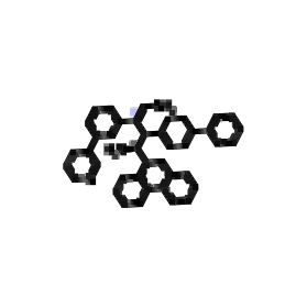 N/C=C(/c1cccc(-c2cccnc2)c1)C(C1=CC=C(c2ccccc2)CC1)[C@H](N)c1cc2ccccc2c2ccccc12